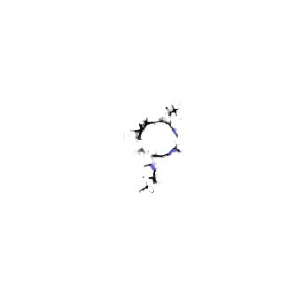 C/C1=C/C[C@@H](/C(C)=C/c2csc(C)n2)OC(=O)C[C@H](O)C(C)(C)C(=O)[C@H](C)[C@@H](O[Si](C)(C)C(C)(C)C)[C@@H](C)/C=C\C1